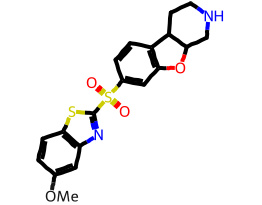 COc1ccc2sc(S(=O)(=O)c3ccc4c(c3)OC3CNCCC43)nc2c1